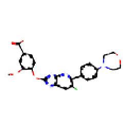 COc1cc(C(=O)O)ccc1Oc1nc2nc(-c3ccc(N4CCOCC4)cc3)c(Cl)cc2[nH]1